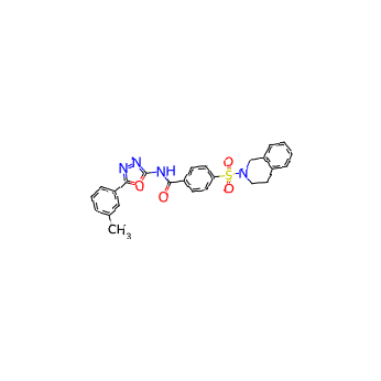 Cc1cccc(-c2nnc(NC(=O)c3ccc(S(=O)(=O)N4CCc5ccccc5C4)cc3)o2)c1